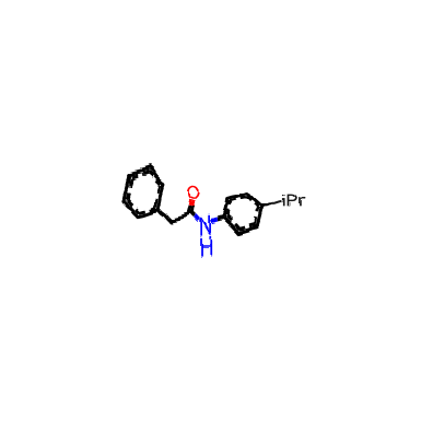 CC(C)c1ccc(NC(=O)Cc2ccccc2)cc1